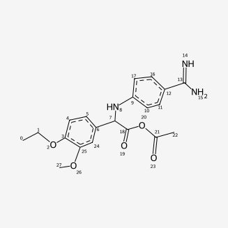 CCOc1ccc(C(Nc2ccc(C(=N)N)cc2)C(=O)OC(C)=O)cc1OC